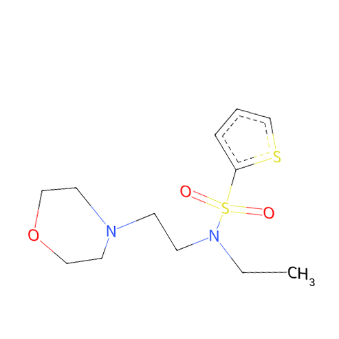 CCN(CCN1CCOCC1)S(=O)(=O)c1cccs1